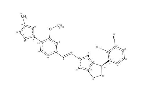 COc1nc(/C=C/c2nc3n(n2)CC[C@@H]3c2cccc(F)c2F)ccc1-n1cnc(C)c1